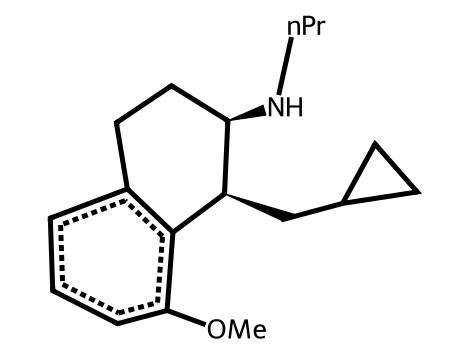 CCCN[C@@H]1CCc2cccc(OC)c2[C@@H]1CC1CC1